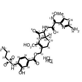 CON=C(C(=O)NC1C(=O)N2C(C(=O)O)=C(COC(=O)c3ccc(NS(=O)(=O)CCN)c(O)c3)CS[C@@H]12)c1csc(N)n1.Cl.Cl